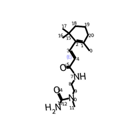 CC1=C(/C=C/C(=O)NCCN(C)C(N)=O)C(C)(C)CCC1